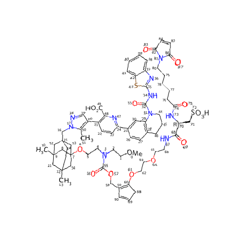 COCCN(CCOC12CC3(C)CC(C)(CC(Cn4ncc(-c5ccc(-c6ccc7c(c6)N(C(=O)Nc6nc8ccccc8s6)CCC7)nc5C(=O)O)c4C)(C3)C1)C2)C(=O)OCC1=C(OCCOCCNC(=O)[C@H](CS(=O)(=O)O)NC(=O)CCCCCN2C(=O)C=CC2=O)CC=C1